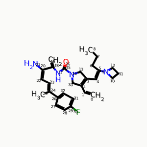 C=CC1=C(/C=C(\CCC)N2CCC2)CN(C(=O)NC(=C)/C(N)=C\C=C(/C)c2ccc(F)cc2)C1